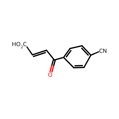 N#Cc1ccc(C(=O)C=CC(=O)O)cc1